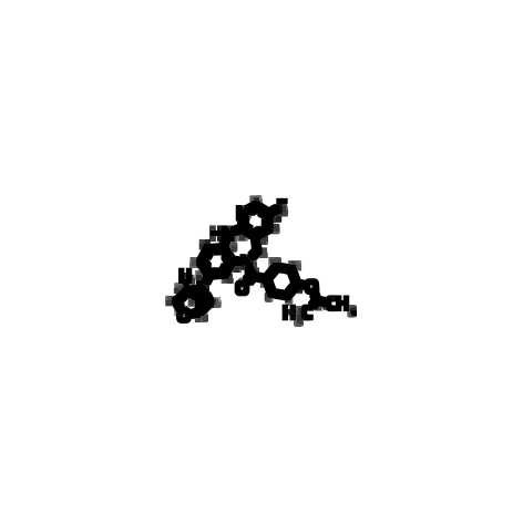 CC(C)OC1CCC(C(=O)N2Cc3cc(F)cnc3Nc3ccc(N4CC5C[C@H]4CO5)cc32)CC1